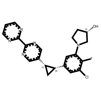 O[C@H]1CCN(c2cc([C@@H]3C[C@@H]3c3cnc(-c4ncccn4)nc3)cc(Cl)c2F)C1